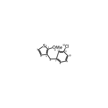 COc1sccc1Cc1cccc(Cl)c1